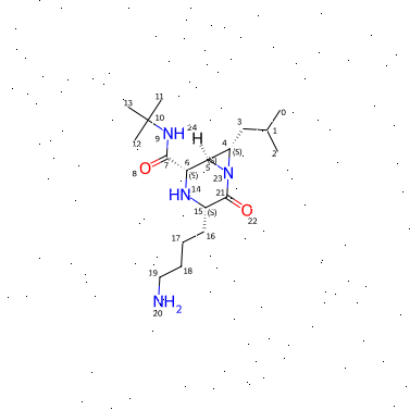 CC(C)C[C@H]1[C@@H]2[C@@H](C(=O)NC(C)(C)C)N[C@@H](CCCCN)C(=O)N21